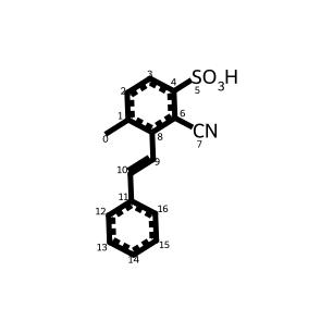 Cc1ccc(S(=O)(=O)O)c(C#N)c1C=Cc1ccccc1